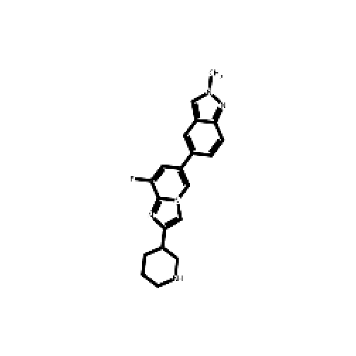 Cn1cc2cc(-c3cc(F)c4nc(C5CCCNC5)cn4c3)ccc2n1